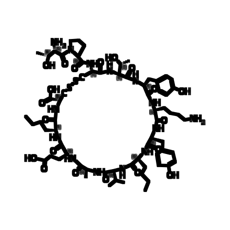 CCCC[C@@H]1NC(=O)[C@H](CCC(=O)O)NC(=O)[C@H](C)NC(=O)[C@H](C(C)C)NC(=O)[C@H](CCCC)NC(=O)[C@H](Cc2ccc(O)cc2)NC(=O)[C@H](CCCCN)NC(=O)[C@H](Cc2ccc(O)cc2)NC(=O)[C@H]([C@@H](C)O)NC(=O)[C@@H](NC(=O)[C@@H]2CCCN2C(=O)[C@@H](N)[C@@H](C)O)CSSC[C@@H](C(=O)O)NC1=O